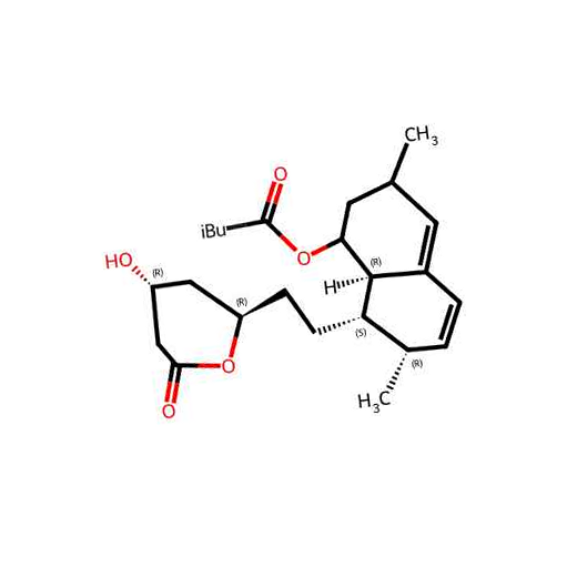 CCC(C)C(=O)OC1CC(C)C=C2C=C[C@H](C)[C@H](CC[C@@H]3C[C@@H](O)CC(=O)O3)[C@H]21